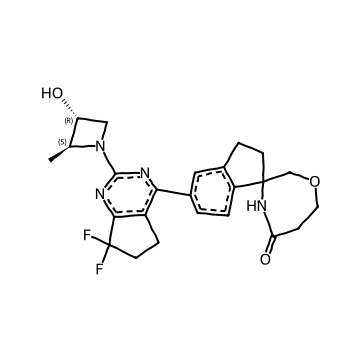 C[C@H]1[C@H](O)CN1c1nc(-c2ccc3c(c2)CCC32COCCC(=O)N2)c2c(n1)C(F)(F)CC2